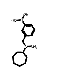 CN(Cc1cccc(B(O)O)c1)C1CCCCCC1